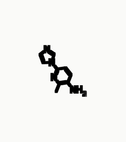 Cc1nc(-n2ccnc2)ccc1N